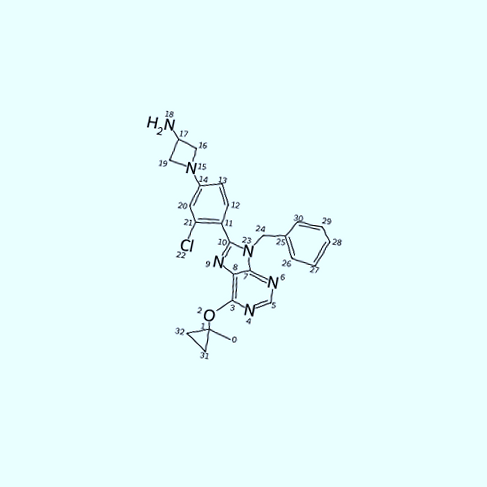 CC1(Oc2ncnc3c2nc(-c2ccc(N4CC(N)C4)cc2Cl)n3Cc2ccccc2)CC1